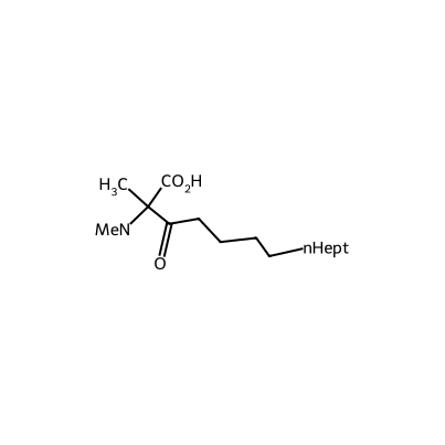 CCCCCCCCCCCC(=O)C(C)(NC)C(=O)O